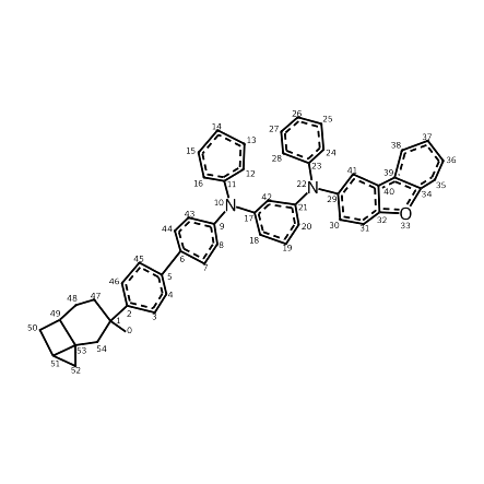 CC1(c2ccc(-c3ccc(N(c4ccccc4)c4cccc(N(c5ccccc5)c5ccc6oc7ccccc7c6c5)c4)cc3)cc2)CCC2CC3CC23C1